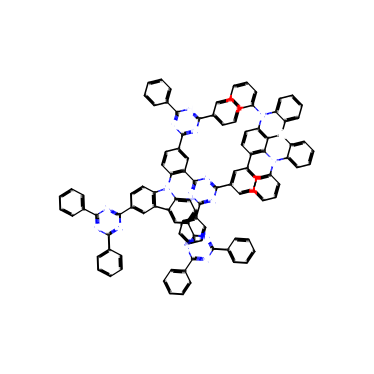 c1ccc(-c2nc(-c3ccccc3)nc(-c3ccc(-n4c5ccc(-c6nc(-c7ccccc7)nc(-c7ccccc7)n6)cc5c5cc(-c6nc(-c7ccccc7)nc(-c7ccccc7)n6)ccc54)c(-c4nc(-c5ccccc5)nc(-c5cccc(-c6ccc7c8c6N(c6ccccc6)c6ccccc6B8c6ccccc6N7c6ccccc6)c5)n4)c3)n2)cc1